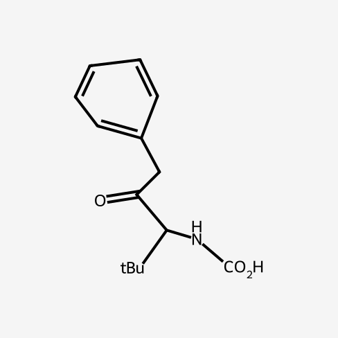 CC(C)(C)C(NC(=O)O)C(=O)Cc1ccccc1